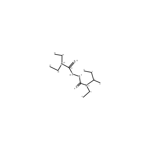 CCC(C)N(CC)C(=S)SSC(=S)N(CC)CC